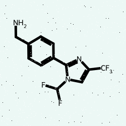 NCc1ccc(-c2nc(C(F)(F)F)cn2C(F)F)cc1